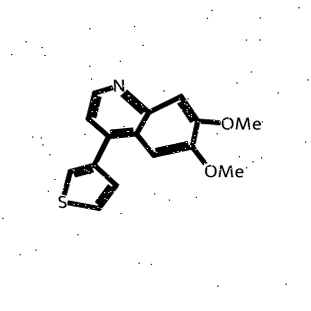 COc1cc2nccc(-c3ccsc3)c2cc1OC